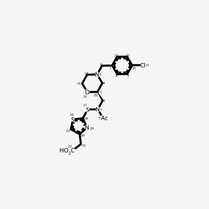 CC(=O)N(C[C@@H]1CN(Cc2ccc(Cl)cc2)CCO1)Sc1nc(CC(=O)O)cs1